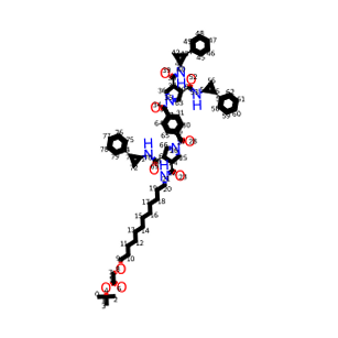 CC(C)(C)OC(=O)COCCCCCCCCCCCCNC(=O)[C@@H]1CN(C(=O)c2ccc(C(=O)N3C[C@@H](C(=O)N[C@H]4C[C@@H]4c4ccccc4)[C@H](C(=O)N[C@H]4C[C@@H]4c4ccccc4)C3)cc2)C[C@H]1C(=O)N[C@H]1C[C@@H]1c1ccccc1